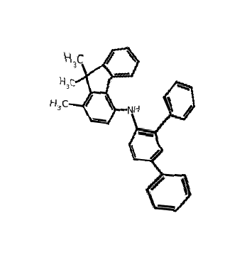 Cc1ccc(Nc2ccc(-c3ccccc3)cc2-c2ccccc2)c2c1C(C)(C)c1ccccc1-2